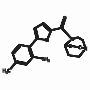 Cc1ccc(-c2ccc(C(=O)N3CCN4CCC3CC4)o2)c(N)c1